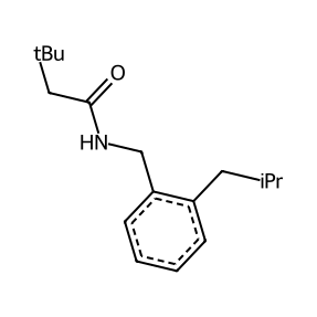 CC(C)Cc1ccccc1CNC(=O)CC(C)(C)C